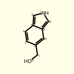 OCc1ccc2c[nH]cc2c1